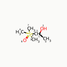 CCO.CS(C)(C)(C)=O